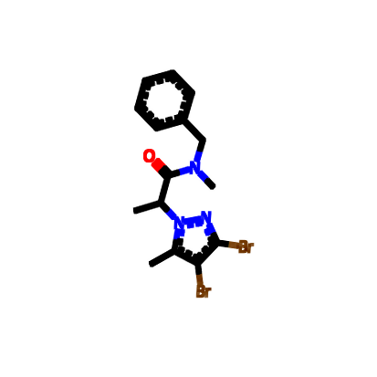 Cc1c(Br)c(Br)nn1C(C)C(=O)N(C)Cc1ccccc1